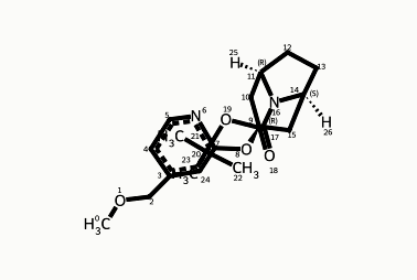 COCc1ccnc(O[C@H]2C[C@H]3CC[C@@H](C2)N3C(=O)OC(C)(C)C)c1